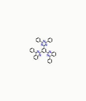 c1ccc(-c2nc(-c3ccccc3)nc(-c3cc(-c4nc(-c5ccccc5)c5ccccc5n4)cc(-c4nc(-c5ccccc5)c5ccccc5n4)c3)n2)cc1